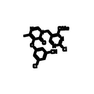 COc1nc(Cl)ncc1Cn1cnc(C)c(Oc2cc(Cl)cc(C#N)c2)c1=O